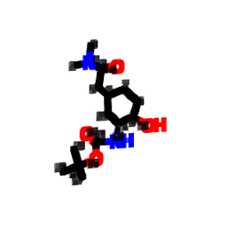 CN(C)C(=O)C[C@H]1CC[C@@H](O)[C@H](NC(=O)OC(C)(C)C)C1